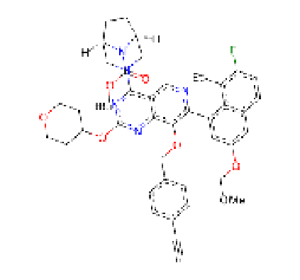 C#Cc1ccc(COc2c(-c3cc(OCOC)cc4ccc(F)c(CC)c34)ncc3c(N4C[C@H]5CC[C@@H](C4)N5C(=O)OC(C)(C)C)nc(OC4CCOCC4)nc23)cc1